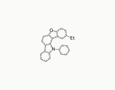 CCc1ccc2oc3ccc4c5ccccc5n(-c5ccccc5)c4c3c2c1